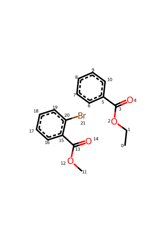 CCOC(=O)c1ccccc1.COC(=O)c1ccccc1Br